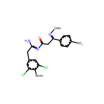 CON=C(CC(=O)N=C(N)Cc1cc(Cl)c(NC(C)=O)c(Cl)c1)c1ccc([N+](=O)[O-])cc1